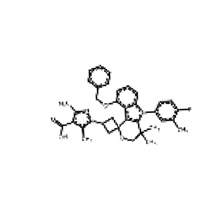 Cc1cc(-n2c3c(c4c(OCc5ccccc5)cccc42)C2(CC(n4nc(C)c(C(=O)O)c4C)C2)OCC3(C)C)ccc1F